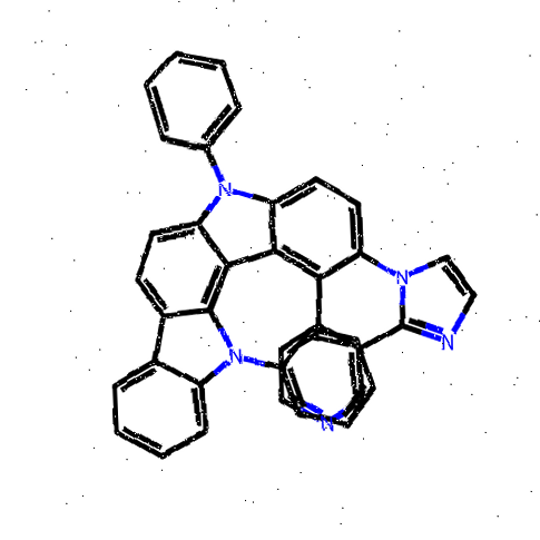 c1ccc(-n2c3ccc4c(c5ccncc5c5nccn45)c3c3c2ccc2c4ccccc4n(-c4ccccc4)c23)cc1